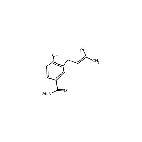 CNC(=O)c1ccc(O)c(CC=C(C)C)c1